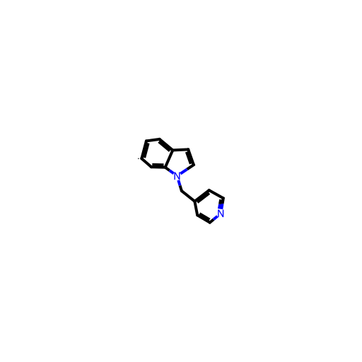 [c]1ccc2ccn(Cc3ccncc3)c2c1